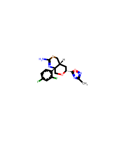 Cc1noc([C@H]2C[C@H]3CSC(N)=N[C@@]3(c3ccc(F)cc3F)CO2)n1